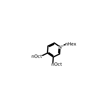 CCCCCCCCc1cc[n+](CCCCCC)cc1CCCCCCCC